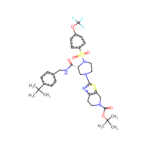 CC(C)(C)OC(=O)N1CCc2nc(N3CCN(S(=O)(=O)c4ccc(OC(F)(F)F)cc4)[C@@H](C(=O)NCc4ccc(C(C)(C)C)cc4)C3)sc2C1